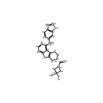 O=C([C@H]1CCc2c(sc3ncnc(Nc4ccc5nnsc5c4)c23)C1)N1CC(F)(F)C1